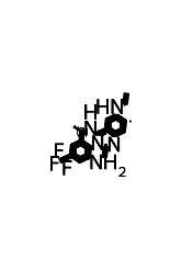 CCNc1[c]cc2nc(C)nc(N[C@H](C)c3cc(N)cc(C(F)(F)F)c3)c2c1